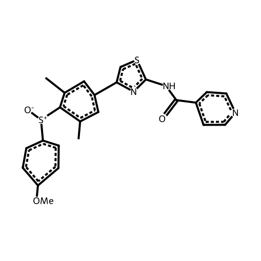 COc1ccc([S+]([O-])c2c(C)cc(-c3csc(NC(=O)c4ccncc4)n3)cc2C)cc1